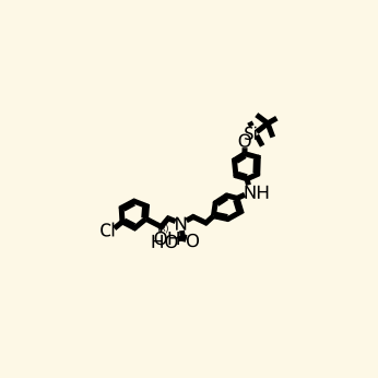 CC(C)(C)[Si](C)(C)Oc1ccc(Nc2ccc(CCN(C[C@H](O)c3cccc(Cl)c3)C(=O)O)cc2)cc1